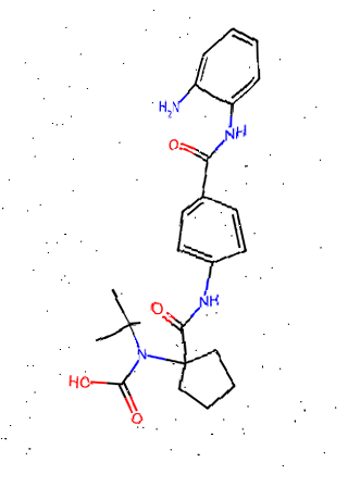 CC(C)(C)N(C(=O)O)C1(C(=O)Nc2ccc(C(=O)Nc3ccccc3N)cc2)CCCC1